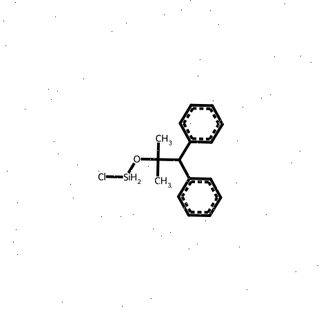 CC(C)(O[SiH2]Cl)C(c1ccccc1)c1ccccc1